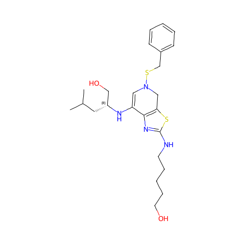 CC(C)C[C@H](CO)NC1=CN(SCc2ccccc2)Cc2sc(NCCCCCO)nc21